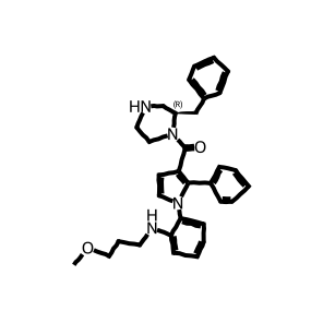 COCCCNc1ccccc1-n1ccc(C(=O)N2CCNC[C@H]2Cc2ccccc2)c1-c1ccccc1